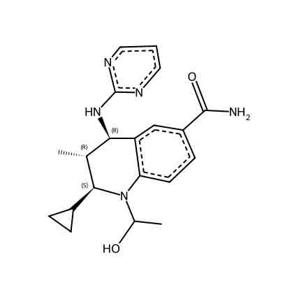 CC(O)N1c2ccc(C(N)=O)cc2[C@H](Nc2ncccn2)[C@@H](C)[C@@H]1C1CC1